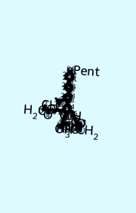 C=C(C)C(=O)OCCCC1=CC(c2ccc(-c3ccc(C4CCC(CCCCC)CC4)cc3)cc2C2CC2)=CC(CCCOC(=O)C(=C)C)C1(C)OCCC(CO)(CO)CCCC